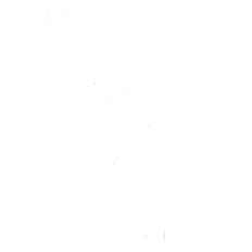 O=C(CC(=O)Oc1cc(O)cc(O)c1)Oc1cc(O)cc(O)c1